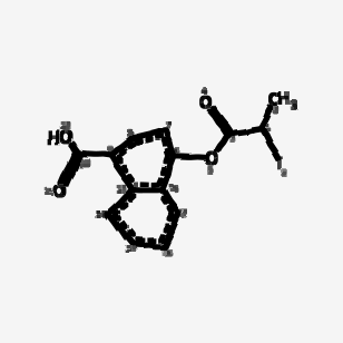 CC(I)C(=O)Oc1ccc(C(=O)O)c2ccccc12